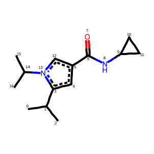 CC(C)c1cc(C(=O)NC2CC2)cn1C(C)C